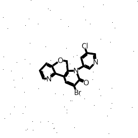 O=c1c(Br)cc2c(n1-c1cncc(Cl)c1)COc1cccnc1-2